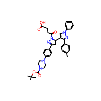 Cc1ccc(-c2nn(-c3ccccc3)cc2C2CC(c3ccc(N4CCN(C(=O)OC(C)(C)C)CC4)cc3)=NN2C(=O)CCC(=O)O)cc1